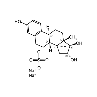 C[C@]12CC[C@@H]3c4ccc(O)cc4CC[C@H]3[C@@H]1C[C@@H](O)[C@@H]2O.O=S(=O)([O-])[O-].[Na+].[Na+]